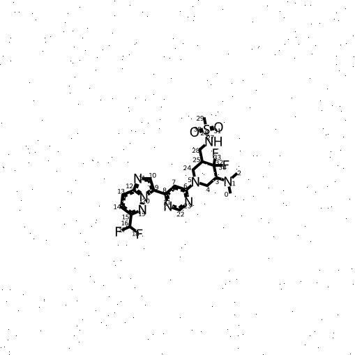 CN(C)C1CN(c2cc(-c3cnc4ccc(C(F)F)nn34)ncn2)CC(CNS(C)(=O)=O)C1(F)F